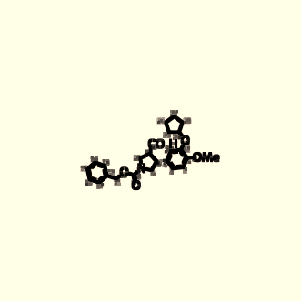 COc1ccc([C@@H]2CN(C(=O)OCc3ccccc3)C[C@H]2C(=O)O)cc1OC1CCCC1